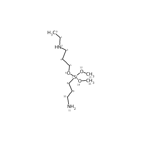 CCNCCCO[Si](CCCN)(OC)OC